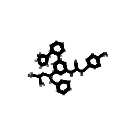 Cc1ccc(NC(=O)Nc2cc(-c3ccccc3-c3nnn[nH]3)nc(N(Cc3ccccc3)CC(C)C)c2)cc1